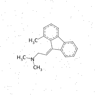 Cc1cccc2c1/C(=C\CN(C)C)c1ccccc1-2